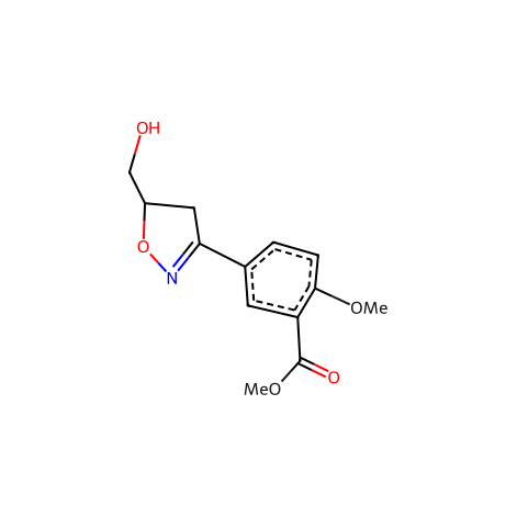 COC(=O)c1cc(C2=NOC(CO)C2)ccc1OC